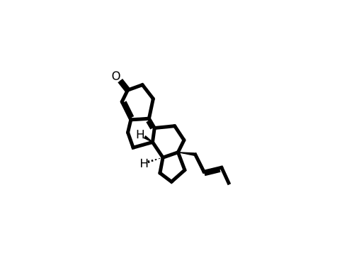 CC=CC[C@@]12CCC[C@H]1[C@@H]1CCC3=CC(=O)CCC3=C1CC2